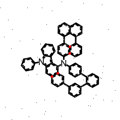 c1ccc(-c2cccc(-c3ccccc3-c3ccc(N(c4ccc(-c5cccc6cccc(-c7ccccc7)c56)cc4)c4cccc5c4c4ccccc4n5-c4ccccc4)cc3)c2)cc1